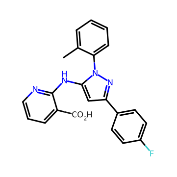 Cc1ccccc1-n1nc(-c2ccc(F)cc2)cc1Nc1ncccc1C(=O)O